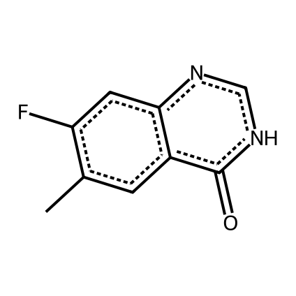 Cc1cc2c(=O)[nH]cnc2cc1F